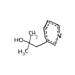 CC(C)(O)Cc1cc[c]nc1